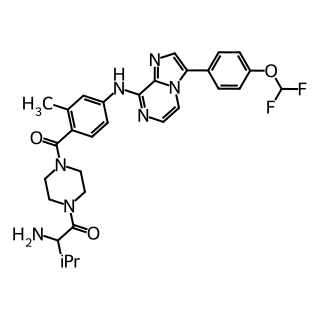 Cc1cc(Nc2nccn3c(-c4ccc(OC(F)F)cc4)cnc23)ccc1C(=O)N1CCN(C(=O)C(N)C(C)C)CC1